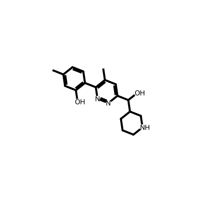 Cc1ccc(-c2nnc(C(O)C3CCCNC3)cc2C)c(O)c1